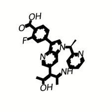 CC(=N)/C(=C(/C)O)c1cnc2c(-c3ccc(C(=O)O)c(F)c3)cn([C@@H](C)c3ccccn3)c2c1